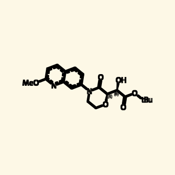 COc1ccc2ccc(N3CCO[C@H]([C@@H](O)C(=O)OC(C)(C)C)C3=O)cc2n1